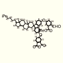 COC(=O)c1cc(Oc2ccc(C3(c4ccc(Oc5ccc6c(c5)C(=O)OC6=O)cc4)CCC4(C)C(CCC5C6CCC(CCCCC(C)C)C6(C)CCC54)C3)cc2)ccc1C=O